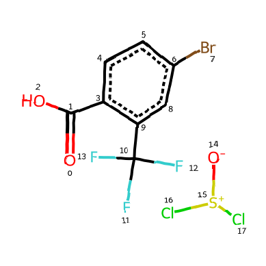 O=C(O)c1ccc(Br)cc1C(F)(F)F.[O-][S+](Cl)Cl